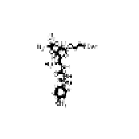 CCCCCCCCCCCCO[C@H]1O[C@H]([C@H](C)NC(=O)NS(=O)(=O)c2ccc(C)cc2)[C@@H]2OC(C)(C)O[C@H]12